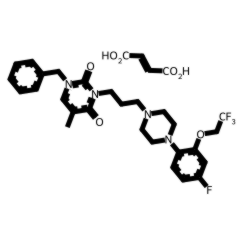 Cc1cn(Cc2ccccc2)c(=O)n(CCCN2CCN(c3ccc(F)cc3OCC(F)(F)F)CC2)c1=O.O=C(O)/C=C/C(=O)O